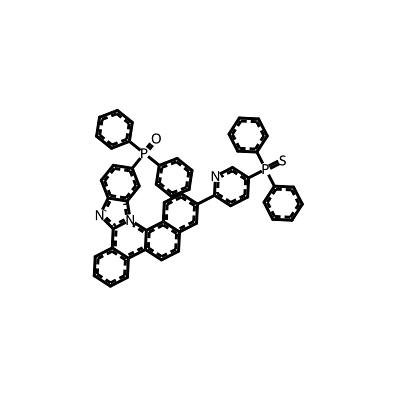 O=P(c1ccccc1)(c1ccccc1)c1ccc2nc3c4ccccc4c4ccc5cc(-c6ccc(P(=S)(c7ccccc7)c7ccccc7)cn6)ccc5c4n3c2c1